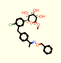 CO[C@H]1O[C@@H](c2ccc(Cl)c(Cc3ccc(C(C)=NOCc4ccccc4)cc3)c2)[C@H](O)[C@@H](O)[C@@H]1O